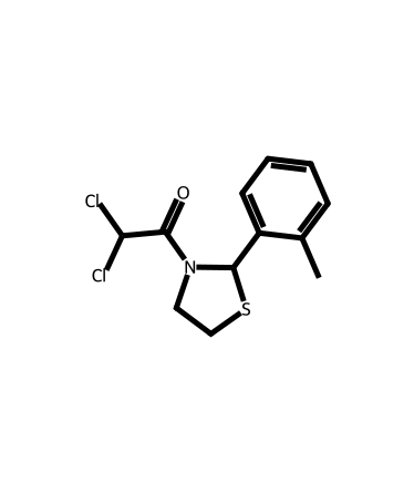 Cc1ccccc1C1SCCN1C(=O)C(Cl)Cl